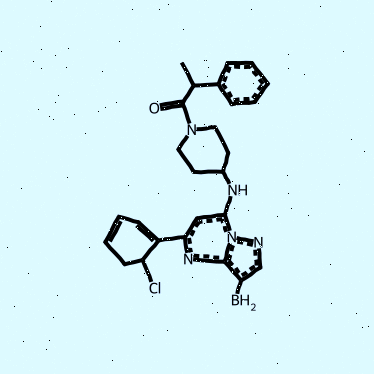 Bc1cnn2c(NC3CCN(C(=O)C(C)c4ccccc4)CC3)cc(C3=CC=CCC3Cl)nc12